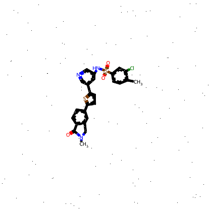 Cc1ccc(S(=O)(=O)Nc2cncc(-c3ccc(-c4ccc5c(c4)CN(C)C5=O)s3)c2)cc1Cl